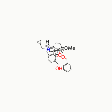 CO[C@]12CC[C@@]3(C[C@@H]1COCc1ccccc1)[C@H]1Cc4ccc(CO)c5c4[C@@]3(CCN1CC1CC1)C2O5